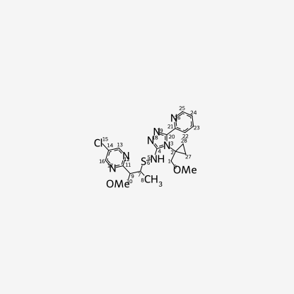 COCC1(n2c(NSC(C)C(OC)c3ncc(Cl)cn3)nnc2-c2ccccn2)CC1